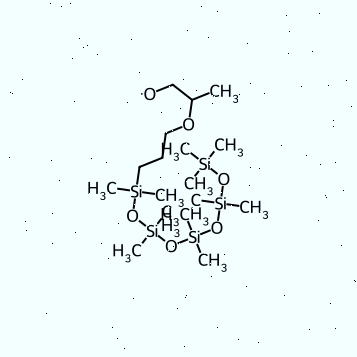 CC(C[O])OCCC[Si](C)(C)O[Si](C)(C)O[Si](C)(C)O[Si](C)(C)O[Si](C)(C)C